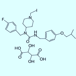 CC(C)COc1ccc(CNC(=O)N(Cc2ccc(F)cc2)C2CCN(CI)CC2)cc1.O=C(O)C(O)C(O)C(=O)O